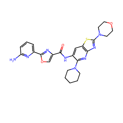 Nc1cccc(-c2nc(C(=O)Nc3cc4sc(N5CCOCC5)nc4nc3N3CCCCC3)co2)n1